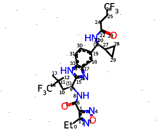 CCc1nonc1C(=O)N[C@@H](CC(C)(C)C(F)(F)F)c1nc2cc([C@@H](NC(=O)CCC(F)(F)F)C3CC3)ccc2[nH]1